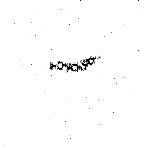 Cc1cc(C#N)ccc1-c1cnn(-c2ccc(C(=O)NC3CCN(C4CC4)CC3)cn2)c1O